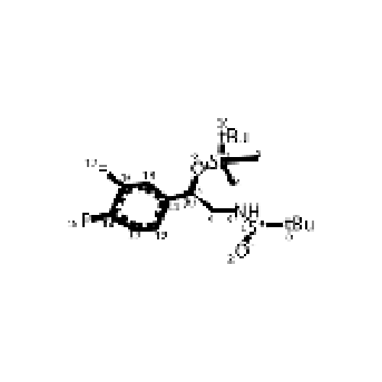 CC(C)(C)[S+]([O-])NC[C@H](O[Si](C)(C)C(C)(C)C)c1ccc(F)c(F)c1